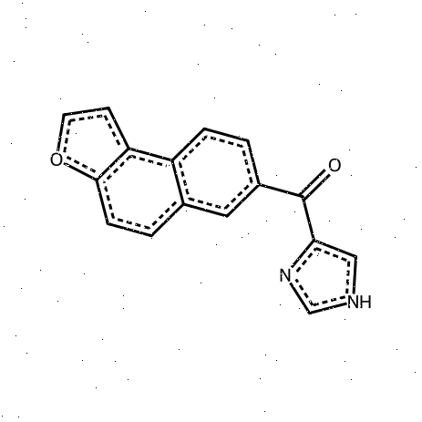 O=C(c1ccc2c(ccc3occc32)c1)c1c[nH]cn1